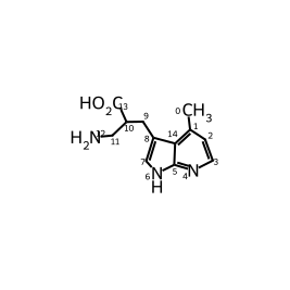 Cc1ccnc2[nH]cc(CC(CN)C(=O)O)c12